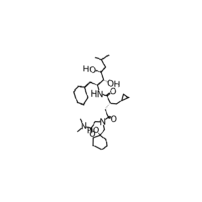 CC(C)C[C@H](O)[C@H](O)[C@H](CC1CCCCC1)NC(=O)[C@@H](CC(=O)N(CC(=O)N(C)C)CC1(O)CCCCC1)CC1CC1